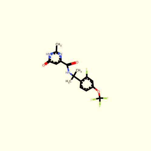 Cc1nc(C(=O)NC(C)(C)c2ccc(OC(F)(F)F)cc2F)cc(=O)[nH]1